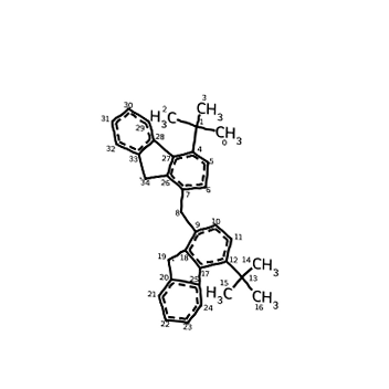 CC(C)(C)c1ccc(Cc2ccc(C(C)(C)C)c3c2[CH]c2ccccc2-3)c2c1-c1ccccc1[CH]2